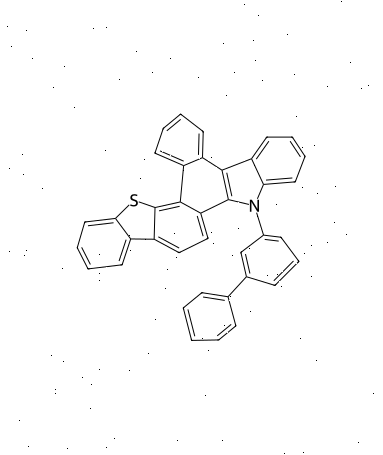 c1ccc(-c2cccc(-n3c4ccccc4c4c5ccccc5c5c(ccc6c7ccccc7sc65)c43)c2)cc1